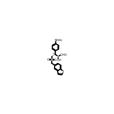 CC(=O)Nc1ccc([C@@H](CS(=O)(=O)Cc2ccc3sccc3c2)N(O)C=O)cc1